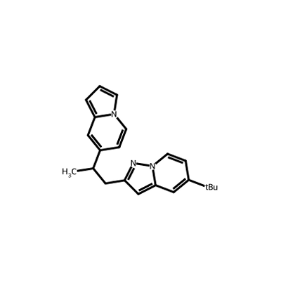 CC(Cc1cc2cc(C(C)(C)C)ccn2n1)c1ccn2cccc2c1